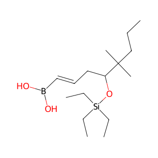 CCCC(C)(C)C(CC=CB(O)O)O[Si](CC)(CC)CC